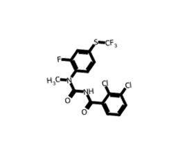 CN(C(=O)NC(=O)c1cccc(Cl)c1Cl)c1ccc(SC(F)(F)F)cc1F